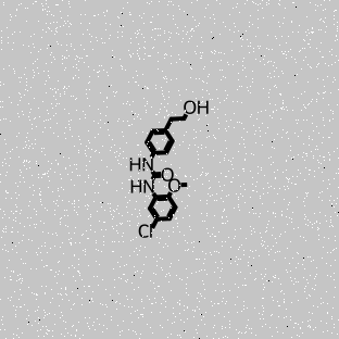 COc1ccc(Cl)cc1NC(=O)Nc1ccc(CCO)cc1